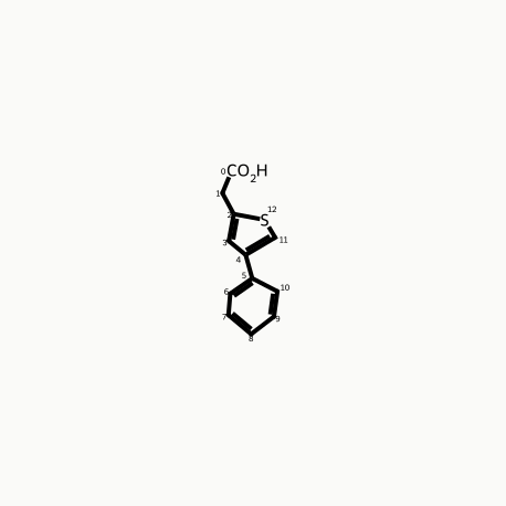 O=C(O)Cc1cc(-c2ccccc2)cs1